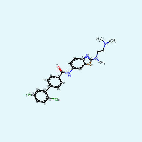 CN(C)CCN(C)c1nc2ccc(NC(=O)c3ccc(-c4cc(Cl)ccc4Cl)cc3)cc2s1